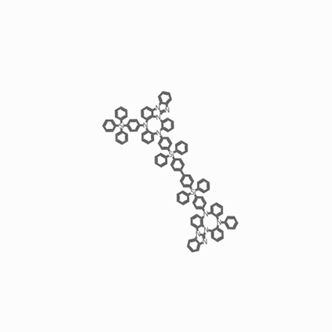 c1ccc(-n2c3ccccc3n(-c3ccc([Si](c4ccccc4)(c4ccccc4)c4ccc(-c5ccc([Si](c6ccccc6)(c6ccccc6)c6ccc(-n7c8ccccc8n(-c8ccc([Si](c9ccccc9)(c9ccccc9)c9ccccc9)cc8)c8cccc9c8n(c8ccccc87)c7nc8ccccc8n97)cc6)cc5)cc4)cc3)c3cccc4c3n(c3ccccc32)c2nc3ccccc3n42)cc1